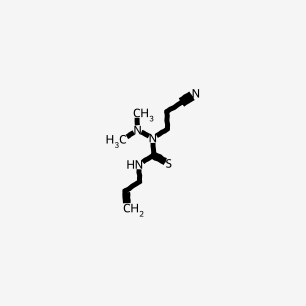 C=CCNC(=S)N(CCC#N)N(C)C